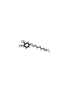 NCCCCCCOc1ccc(Cl)c(Cl)c1